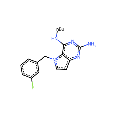 CCCCNc1nc(N)nc2ccn(Cc3cccc(F)c3)c12